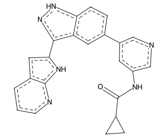 O=C(Nc1cncc(-c2ccc3[nH]nc(-c4cc5cccnc5[nH]4)c3c2)c1)C1CC1